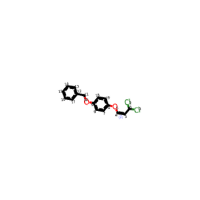 ClC(Cl)/C=C\Oc1ccc(OCc2ccccc2)cc1